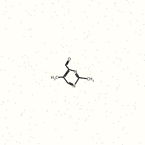 Cc1ncc(C)c(C=O)n1